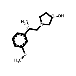 COc1cccc([C@H](N)CN2CC[C@H](O)C2)c1